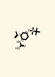 C=C(C)[C@@H]1C[C@H](O[Si](C)(C)C(C)(C)C)CC[C@@H]1NC(=O)O